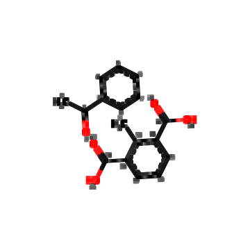 CC(=O)c1ccccc1.Cc1c(C(=O)O)cccc1C(=O)O